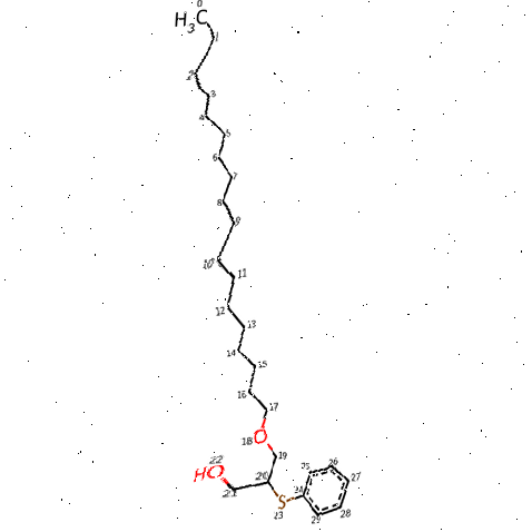 CCCCCCCCCCCCCCCCCCOCC(CO)Sc1ccccc1